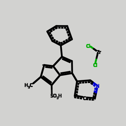 CC1=C(S(=O)(=O)O)C2=C(c3cccnc3)C=C(c3ccccc3)C2=[C]1.[Cl][Zr][Cl]